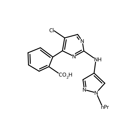 CCCn1cc(Nc2ncc(Cl)c(-c3ccccc3C(=O)O)n2)cn1